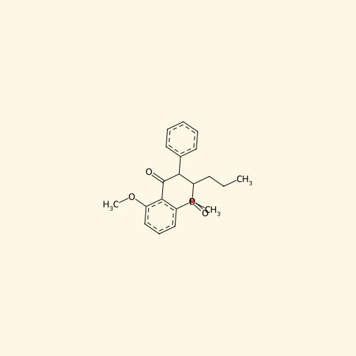 CCCC(P=O)C(C(=O)c1c(OC)cccc1OC)c1ccccc1